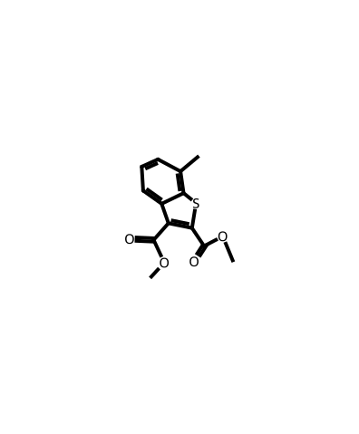 COC(=O)c1sc2c(C)cccc2c1C(=O)OC